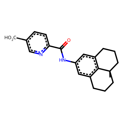 CC12CCCc3cc(NC(=O)c4ccc(C(=O)O)cn4)cc(c31)CCC2